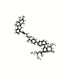 CC(C)NC(=O)c1cc2c(c(-c3cccc4cc(-c5ccc(C(=O)NCCC#Cc6cccc7c6CN(C6CCC(=O)NC6=O)C7=O)nc5)ncc34)c1)NC(C)CC(=O)N2